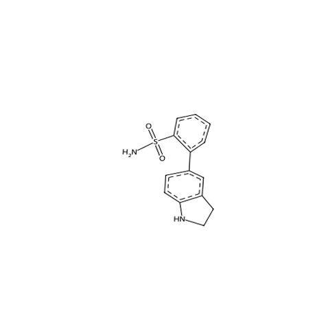 NS(=O)(=O)c1ccccc1-c1ccc2c(c1)CCN2